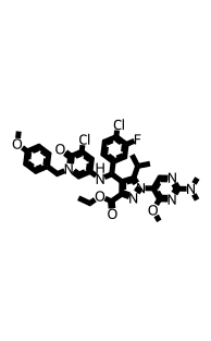 CCOC(=O)c1nn(-c2cnc(N(C)C)nc2OC)c(C(C)C)c1C(Nc1cc(Cl)c(=O)n(Cc2ccc(OC)cc2)c1)c1ccc(Cl)c(F)c1